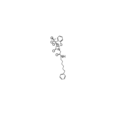 CS(=O)(=O)S(=O)(=O)c1ccccc1OC1CC(=O)N1CC(=O)NCCCCCCc1ccccc1